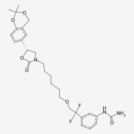 CC1(C)OCc2cc([C@@H]3CN(CCCCCCOCC(F)(F)c4cccc(NC(N)=O)c4)C(=O)O3)ccc2O1